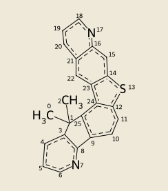 CC1(C)c2cccnc2-c2ccc3sc4cc5ncccc5cc4c3c21